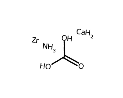 N.O=C(O)O.[CaH2].[Zr]